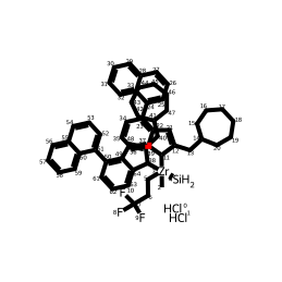 Cl.Cl.[CH3][Zr](=[SiH2])([CH2]CC(F)(F)F)([CH]1C(CC2CCCCCC2)=Cc2c(-c3cccc4ccccc34)cccc21)[CH]1C(CC2CCCCCC2)=Cc2c(-c3cccc4ccccc34)cccc21